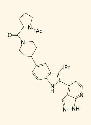 CC(=O)N1CCCC1C(=O)N1CCC(c2ccc3[nH]c(-c4ccnc5[nH]ncc45)c(C(C)C)c3c2)CC1